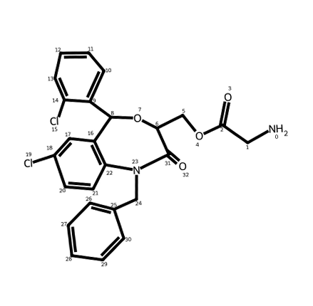 NCC(=O)OCC1OC(c2ccccc2Cl)c2cc(Cl)ccc2N(Cc2ccccc2)C1=O